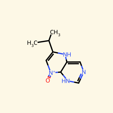 CC(C)C1=C[N+](=O)C2NC=NC=C2N1